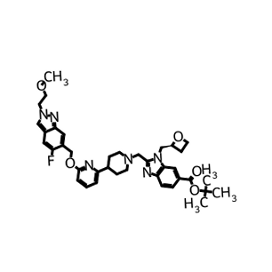 COCCn1cc2cc(F)c(COc3cccc(C4CCN(Cc5nc6ccc(C(=O)OC(C)(C)C)cc6n5C[C@@H]5CCO5)CC4)n3)cc2n1